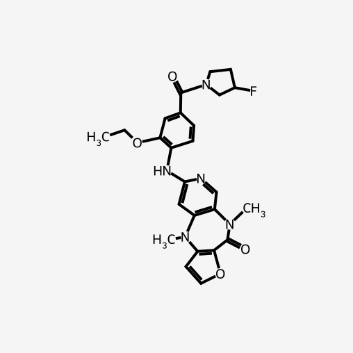 CCOc1cc(C(=O)N2CCC(F)C2)ccc1Nc1cc2c(cn1)N(C)C(=O)c1occc1N2C